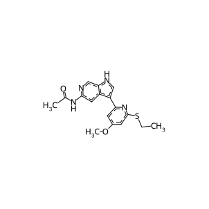 CCSc1cc(OC)cc(-c2c[nH]c3cnc(NC(C)=O)cc23)n1